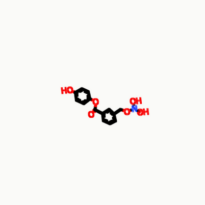 O=C(Oc1ccc(O)cc1)c1cccc(CON(O)O)c1